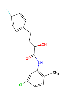 Cc1ccc(Cl)cc1NC(=O)[C@H](O)CCc1ccc(F)cc1